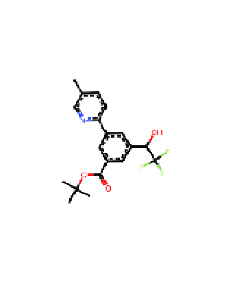 Cc1ccc(-c2cc(C(=O)OC(C)(C)C)cc(C(O)C(F)(F)F)c2)nc1